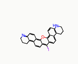 IC1=c2ccc3c4c(ccc3c2Oc2c1ccc1c3c(ccc21)NCCC3)=NCCC4